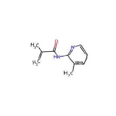 C=C(C)C(=O)Nc1ncccc1C